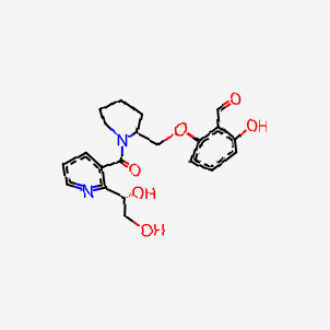 O=Cc1c(O)cccc1OCC1CCCCN1C(=O)c1cccnc1[C@H](O)CO